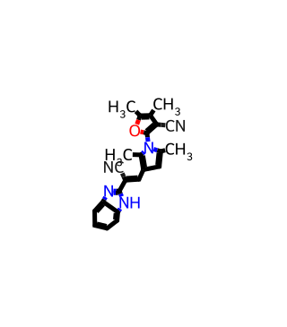 Cc1oc(-n2c(C)cc(/C=C(\C#N)c3nc4ccccc4[nH]3)c2C)c(C#N)c1C